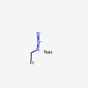 CCCN=[N+]=[N-].[NaH]